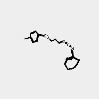 Cc1ccc(OCCCN=C=NC2CCCCC2)cc1